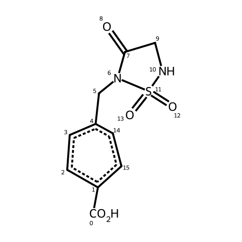 O=C(O)c1ccc(CN2C(=O)CNS2(=O)=O)cc1